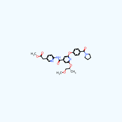 COC[C@@H](C)Oc1cc(C(=O)Nc2ccc(CC(=O)OC)cn2)cc(Oc2ccc(C(=O)N3CCCC3)cc2)n1